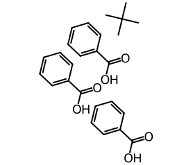 CC(C)(C)C.O=C(O)c1ccccc1.O=C(O)c1ccccc1.O=C(O)c1ccccc1